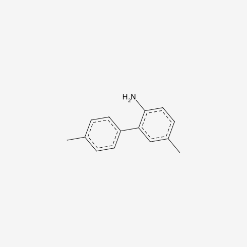 Cc1ccc(-c2cc(C)ccc2N)cc1